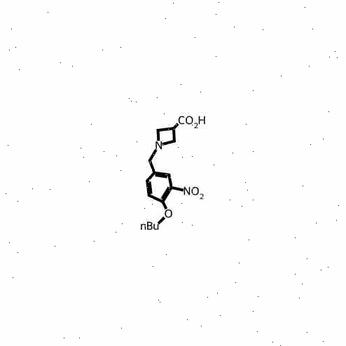 CCCCOc1ccc(CN2CC(C(=O)O)C2)cc1[N+](=O)[O-]